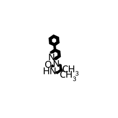 CC1(C)CNC(=O)N(c2ccc(-c3ccccc3)cn2)C1